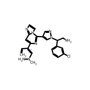 C=C/C(=C\N(C)N)c1cc2nccn2c(-c2cnn(C(CN)c3cccc(Cl)c3)c2)n1